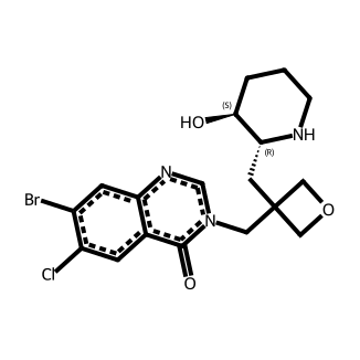 O=c1c2cc(Cl)c(Br)cc2ncn1CC1(C[C@H]2NCCC[C@@H]2O)COC1